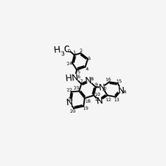 Cc1cccc(Nc2nc3c(nc4cnccn43)c3ccncc23)c1